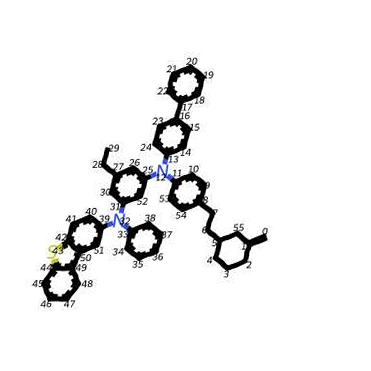 C=C1CCCC(CCc2ccc(N(c3ccc(-c4ccccc4)cc3)c3cc(CC)cc(N(c4ccccc4)c4ccc5sc6ccccc6c5c4)c3)cc2)C1